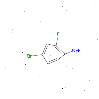 [NH]c1ccc(Br)cc1F